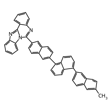 Cc1ccc2cc(-c3cccc4c(-c5ccc6cc(-c7nc8ccccc8c8nc9ccccc9n78)ccc6c5)cccc34)ccc2c1